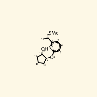 CS[C@@H](C)c1cccc(O[C@H]2CCC[C@@H]2O)n1